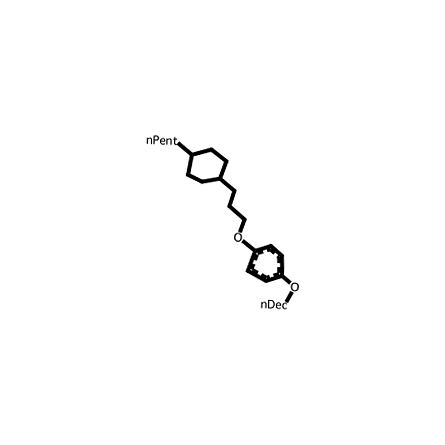 CCCCCCCCCCOc1ccc(OCCCC2CCC(CCCCC)CC2)cc1